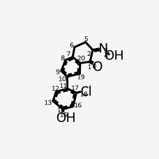 O=C1/C(=N\O)CCc2ccc(-c3ccc(O)cc3Cl)cc21